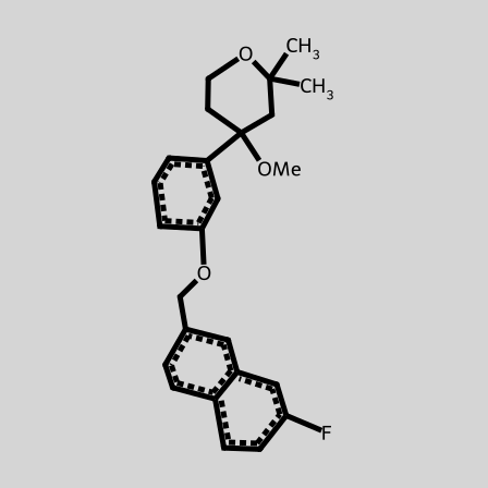 COC1(c2cccc(OCc3ccc4ccc(F)cc4c3)c2)CCOC(C)(C)C1